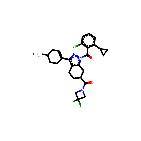 O=C(O)C1CC=C(c2nn(C(=O)c3c(Cl)cccc3C3CC3)c3c2CCC(C(=O)N2CC(F)(F)C2)C3)CC1